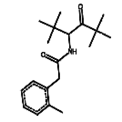 Cc1ccccc1CC(=O)NC(C(=O)C(C)(C)C)C(C)(C)C